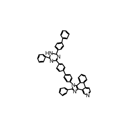 c1ccc(C2=NC(c3ccc(-c4ccc(-n5c(-c6ccccc6)nc6c7cnccc7c7ccccc7c65)cc4)cc3)=NC(c3ccc(-c4ccccc4)cc3)N2)cc1